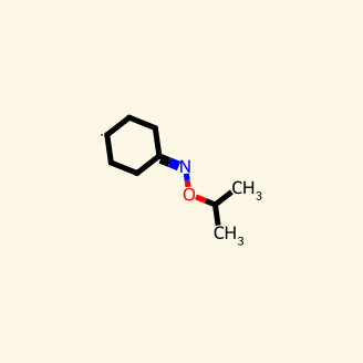 CC(C)ON=C1CC[CH]CC1